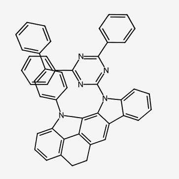 c1ccc(-c2ccc(-n3c4cccc5c4c4c(cc6c7ccccc7n(-c7nc(-c8ccccc8)nc(-c8ccccc8)n7)c6c43)CC5)cc2)cc1